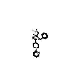 NCc1nnc(C2CCN(c3ccccn3)CC2)n1Cc1ccccc1